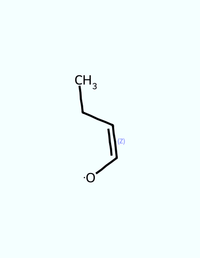 CC/C=C\[O]